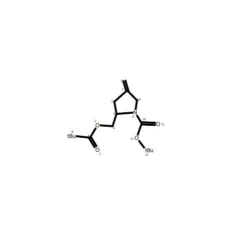 C=C1CC(COC(=O)C(C)(C)C)N(C(=O)OC(C)(C)C)C1